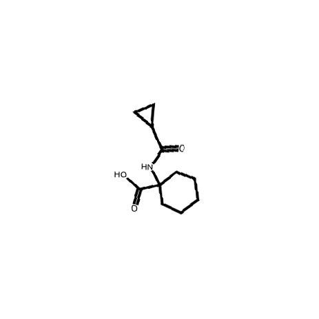 O=C(NC1(C(=O)O)CCCCC1)C1CC1